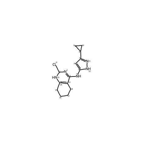 ClC1N=C(Nc2cc(C3CC3)n[nH]2)C2=C(CCCC2)N1